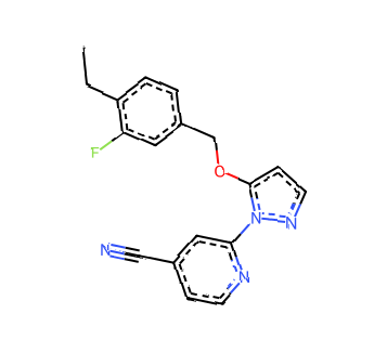 CCc1ccc(COc2ccnn2-c2cc(C#N)ccn2)cc1F